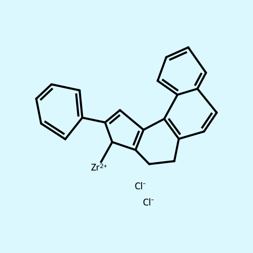 [Cl-].[Cl-].[Zr+2][CH]1C(c2ccccc2)=CC2=C1CCc1ccc3ccccc3c12